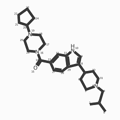 CC(C)CN1CCC(c2c[nH]c3cc(C(=O)N4CCN(C5CCCC5)CC4)ccc23)CC1